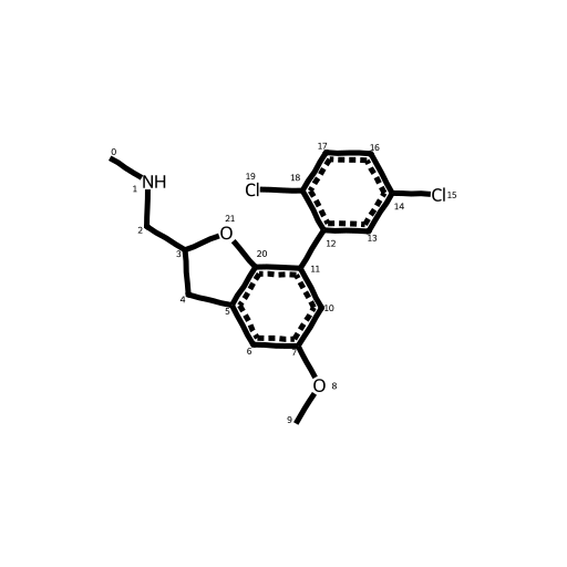 CNCC1Cc2cc(OC)cc(-c3cc(Cl)ccc3Cl)c2O1